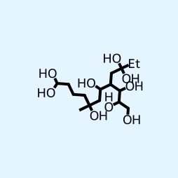 CCC(O)(O)CC(C(O)CC(C)(O)CCCC(O)O)C(O)C(O)CO